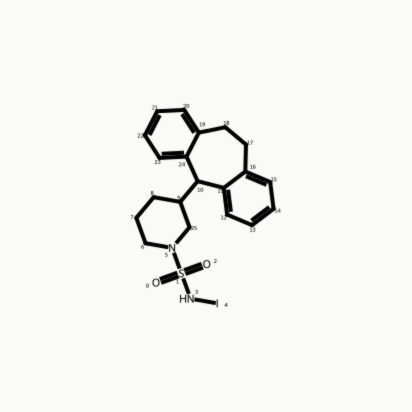 O=S(=O)(NI)N1CCCC(C2c3ccccc3CCc3ccccc32)C1